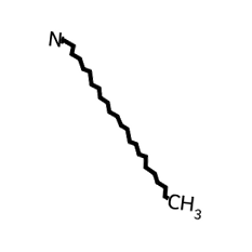 CCCCCCCCCCCCCCCCCCCCCCCC#N